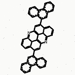 C1=CC2=NC3=C4C5=C(C=C(c6cc7ccccc7c7ccccc67)C(=C1)C25)N=C1C=CC=C(C(c2cc5ccccc5c5ccccc25)=C3)C14